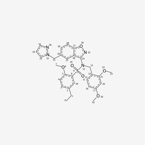 CCc1ccc(OC)c(S(=O)(=O)N(Cc2ccc(OC)cc2OC)c2noc3ccc(Cn4cccn4)cc23)c1